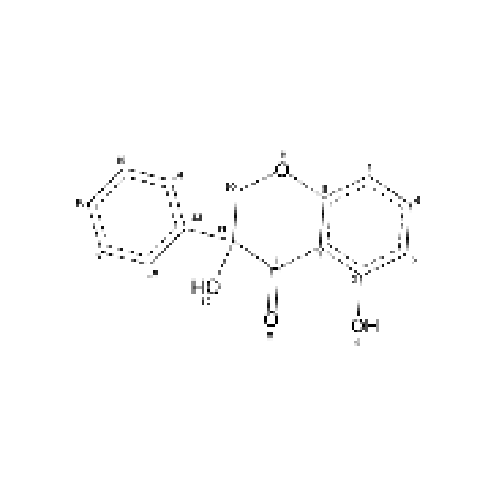 O=C1c2c(O)cccc2OCC1(O)c1ccccc1